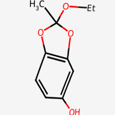 CCOC1(C)Oc2ccc(O)cc2O1